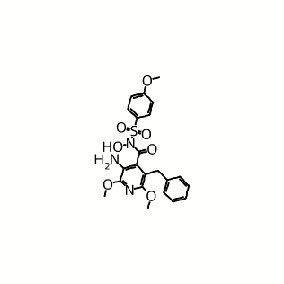 COc1ccc(S(=O)(=O)N(O)C(=O)c2c(N)c(OC)nc(OC)c2Cc2ccccc2)cc1